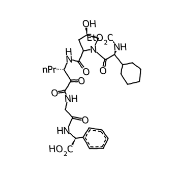 CCC[C@H](NC(=O)C1C[C@@H](O)CN1C(=O)[C@@H](NC(=O)OCC)C1CCCCC1)C(=O)C(=O)NCC(=O)N[C@H](C(=O)O)c1ccccc1